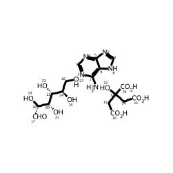 Nc1ncnc2nc[nH]c12.O=C(O)CC(O)(CC(=O)O)C(=O)O.O=C[C@H](O)[C@@H](O)[C@H](O)[C@H](O)CO